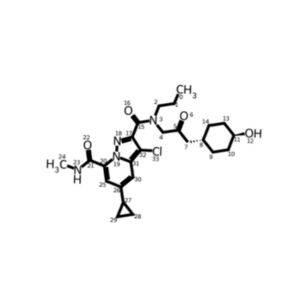 CCCN(CC(=O)C[C@H]1CC[C@H](O)CC1)C(=O)c1nn2c(C(=O)NC)cc(C3CC3)cc2c1Cl